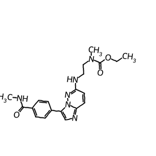 CCOC(=O)N(C)CCNc1ccc2ncc(-c3ccc(C(=O)NC)cc3)n2n1